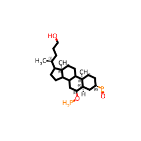 C[C@@H](CCCO)C1CCC2C3C[C@H](OP)[C@@H]4C[C@H](P=O)CC[C@]4(C)C3CC[C@@]21C